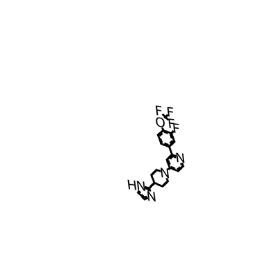 Fc1cc(-c2cc(N3CCC(c4ncc[nH]4)CC3)ccn2)ccc1OC(F)(F)F